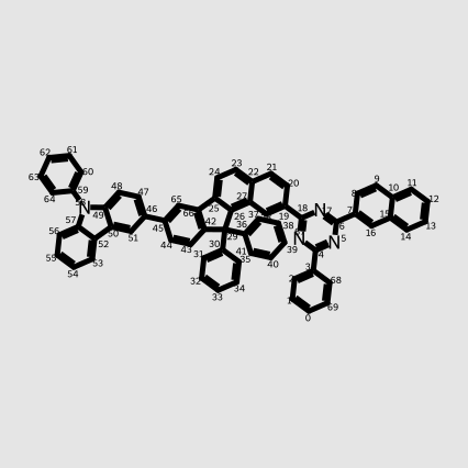 c1ccc(-c2nc(-c3ccc4ccccc4c3)nc(-c3ccc4ccc5c(c4c3)C(c3ccccc3)(c3ccccc3)c3ccc(-c4ccc6c(c4)c4ccccc4n6-c4ccccc4)cc3-5)n2)cc1